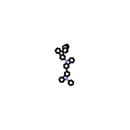 c1ccc(-n2c3ccccc3c3cc(-c4ccc5c(c4)c4ccccc4n5-c4ccc5c(c4)C4(c6ccccc6-5)C5CC6CC7C4CC7(C6)C5)ccc32)cc1